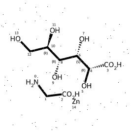 NCC(=O)O.O=C(O)[C@H](O)[C@@H](O)[C@H](O)[C@H](O)CO.[Zn]